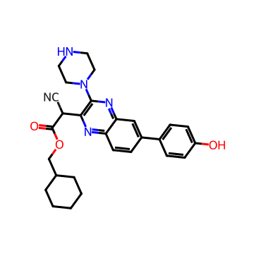 N#CC(C(=O)OCC1CCCCC1)c1nc2ccc(-c3ccc(O)cc3)cc2nc1N1CCNCC1